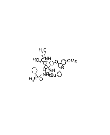 C=C[C@@H]1C[C@]1(NC(=O)[C@@H]1C[C@@H](Oc2cc(-c3ccccc3)nc3cc(OC)ccc23)C[C@H]1C(=O)N[C@H](C(=O)NCC(=O)N(C)C1CCCCC1)C(C)(C)C)C(=O)O